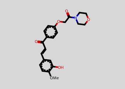 COc1ccc(/C=C/C(=O)c2ccc(OCC(=O)N3CCOCC3)cc2)cc1O